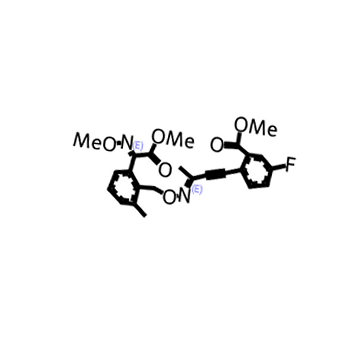 CO/N=C(/C(=O)OC)c1cccc(C)c1CO/N=C(\C)C#Cc1ccc(F)cc1C(=O)OC